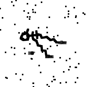 CCCCCCCCCCCCCCCCC(C)(c1ccccc1C)[N+](C)(C)CCCCCCCCCCCCCCCC.[OH-]